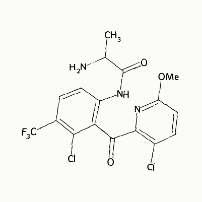 COc1ccc(Cl)c(C(=O)c2c(NC(=O)C(C)N)ccc(C(F)(F)F)c2Cl)n1